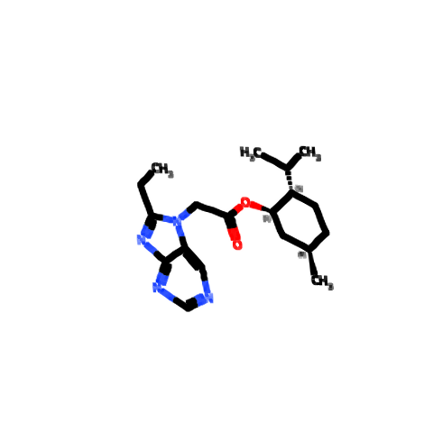 CCc1nc2ncncc2n1CC(=O)O[C@@H]1C[C@H](C)CC[C@H]1C(C)C